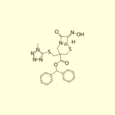 Cn1nnnc1SCC1(C(=O)OC(c2ccccc2)c2ccccc2)CS[C@@H]2C(=NO)C(=O)N2C1